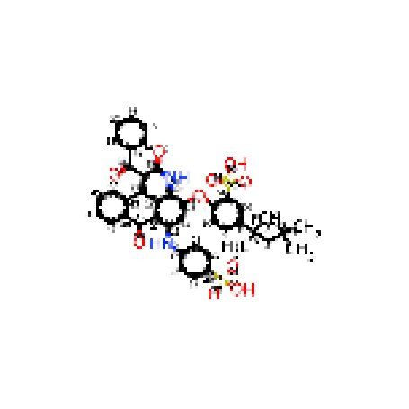 CC(C)(C)CC(C)(C)c1ccc(Oc2cc(Nc3ccc(S(=O)(=O)O)cc3)c3c4c(c(C(=O)c5ccccc5)c(=O)[nH]c24)-c2ccccc2C3=O)c(S(=O)(=O)O)c1